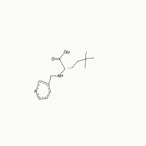 CC(C)(C)CC[C@H](NCc1cccnc1)C(=O)O